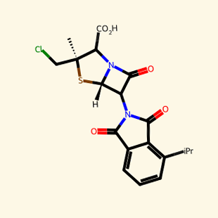 CC(C)c1cccc2c1C(=O)N(C1C(=O)N3C(C(=O)O)[C@](C)(CCl)S[C@@H]13)C2=O